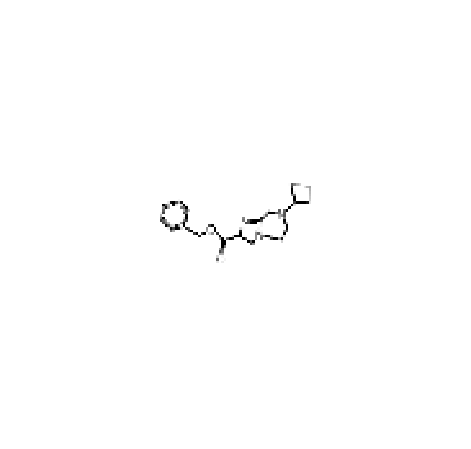 O=C(OCc1ccccc1)C1CN2CCN(C3CCC3)CC2=N1